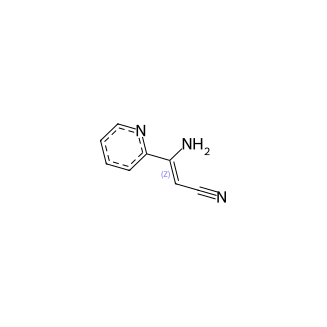 N#C/C=C(\N)c1ccccn1